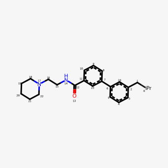 CC(C)Cc1cccc(-c2cccc(C(=O)NCCN3CCCCC3)c2)c1